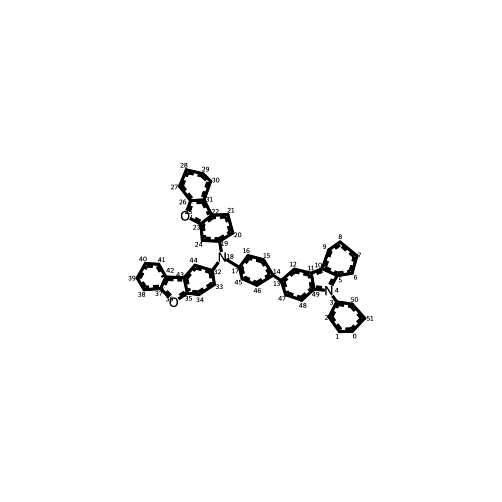 c1ccc(-n2c3ccccc3c3cc(-c4ccc(N(c5ccc6c(c5)oc5ccccc56)c5ccc6oc7ccccc7c6c5)cc4)ccc32)cc1